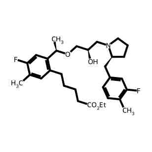 CCOC(=O)CCCCc1cc(C)c(F)cc1[C@@H](C)OC[C@H](O)CN1CCC[C@H]1Cc1ccc(C)c(F)c1